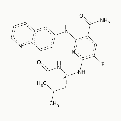 CC(C)C[C@H](NC=O)Nc1nc(Nc2ccc3ncccc3c2)c(C(N)=O)cc1F